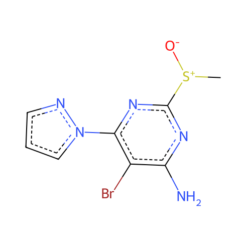 C[S+]([O-])c1nc(N)c(Br)c(-n2cccn2)n1